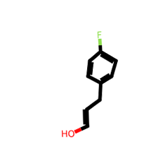 OC=CCc1ccc(F)cc1